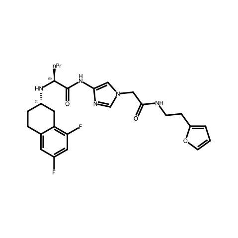 CCC[C@H](N[C@H]1CCc2cc(F)cc(F)c2C1)C(=O)Nc1cn(CC(=O)NCCc2ccco2)cn1